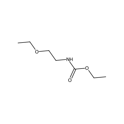 CCOCCNC(=O)OCC